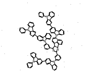 c1ccc(-n2c3ccccc3c3cc(-c4ccc5c(c4)c4ccccc4n5-c4cccc(C5=NC6c7cccc8c(-n9c%10ccccc%10c%10cc(-c%11ccc%12c(c%11)c%11ccccc%11n%12-c%11ccccc%11)ccc%109)ccc(c78)C6C(c6cccc(-n7c8ccccc8c8cc(-c9ccc%10c(c9)c9ccccc9n%10-c9ccccc9)ccc87)c6)=N5)c4)ccc32)cc1